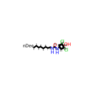 CCCCCCCCCCCCCCCCCCNC(=O)Nc1cc(Cl)c(O)c(Cl)c1